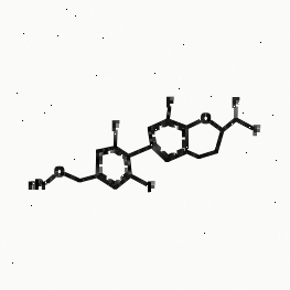 CCCOCc1cc(F)c(-c2cc(F)c3c(c2)CCC(C(F)F)O3)c(F)c1